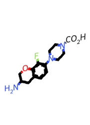 NC1COc2c(ccc(N3CCN(C(=O)O)CC3)c2F)C1